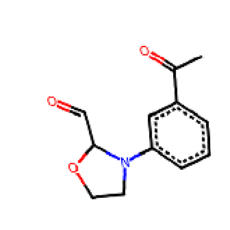 CC(=O)c1cccc(N2CCOC2C=O)c1